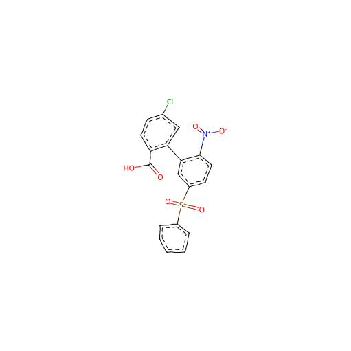 O=C(O)c1ccc(Cl)cc1-c1cc(S(=O)(=O)c2ccccc2)ccc1[N+](=O)[O-]